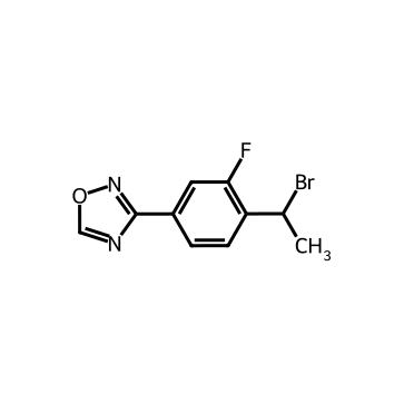 CC(Br)c1ccc(-c2ncon2)cc1F